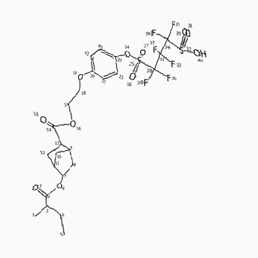 CCC(C)C(=O)OC1CC2CC1CC2C(=O)OCCOc1ccc(OS(=O)(=O)C(F)(F)C(F)(F)C(F)(F)S(=O)(=O)O)cc1